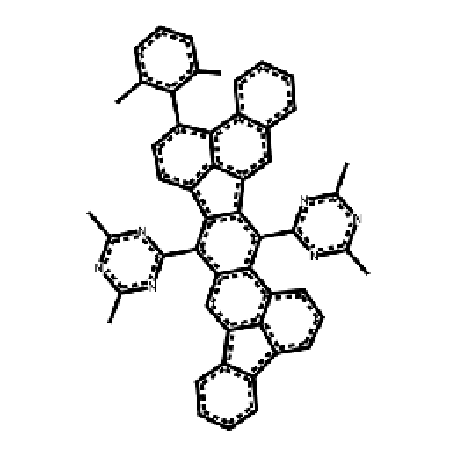 Cc1nc(C)nc(-c2c3cc4c5ccccc5c5cccc(c3c(-c3nc(C)nc(C)n3)c3c6cc7ccccc7c7c(-c8c(C)cccc8C)ccc(c23)c67)c54)n1